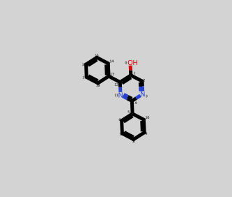 Oc1cnc(-c2ccccc2)nc1-c1ccccc1